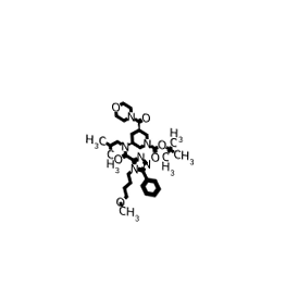 COCCCCn1c(C(=O)N(CC(C)C)[C@H]2C[C@@H](C(=O)N3CCOCC3)CN(C(=O)OC(C)(C)C)C2)nnc1-c1ccccc1